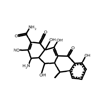 CC1c2cccc(O)c2C(=O)C2=C(O)C3(O)C(=O)C(C(N)=O)=C(O)C(N)C3C(O)C21